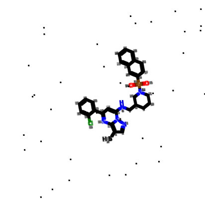 Bc1cnn2c(NCC3CCCN(S(=O)(=O)c4ccc5ccccc5c4)C3)cc(-c3ccccc3Cl)nc12